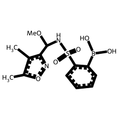 COC(NS(=O)(=O)c1ccccc1B(O)O)c1noc(C)c1C